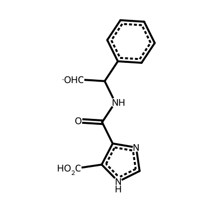 O=[C]C(NC(=O)c1nc[nH]c1C(=O)O)c1ccccc1